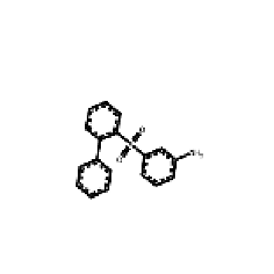 Nc1cccc(S(=O)(=O)c2ccccc2-c2ccccc2)c1